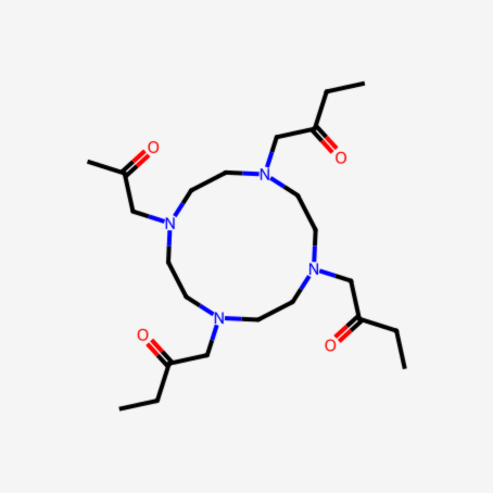 CCC(=O)CN1CCN(CC(C)=O)CCN(CC(=O)CC)CCN(CC(=O)CC)CC1